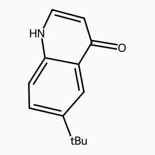 CC(C)(C)c1ccc2[nH]ccc(=O)c2c1